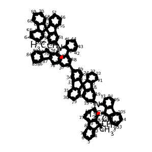 CC1(C)c2ccccc2-c2ccc(N(c3ccc4c(c3)-c3ccccc3C43c4ccccc4-c4cc(-c5cccc(-c6ccccc6N(c6ccc7c(c6)-c6ccccc6C76c7ccccc7-c7ccccc76)c6cccc7c6C(C)(C)c6ccccc6-7)c5)ccc43)c3cccc4c3C(C)(C)c3ccccc3-4)cc21